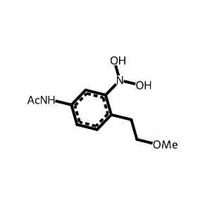 COCCc1ccc(NC(C)=O)cc1N(O)O